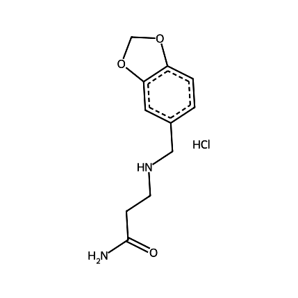 Cl.NC(=O)CCNCc1ccc2c(c1)OCO2